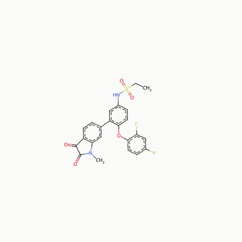 CCS(=O)(=O)Nc1ccc(Oc2ccc(F)cc2F)c(-c2ccc3c(c2)N(C)C(=O)C3=O)c1